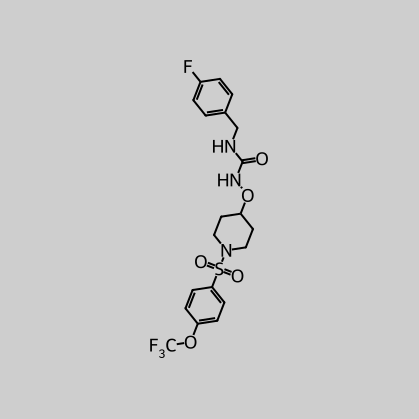 O=C(NCc1ccc(F)cc1)NOC1CCN(S(=O)(=O)c2ccc(OC(F)(F)F)cc2)CC1